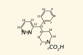 O=C(O)N1CCC(C(c2ccccc2)c2cccnn2)CC1